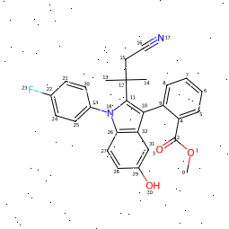 COC(=O)c1ccccc1-c1c(C(C)(C)CC#N)n(-c2ccc(F)cc2)c2ccc(O)cc12